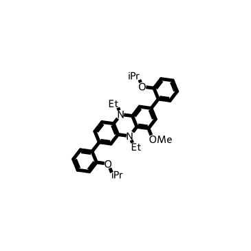 CCN1c2ccc(-c3ccccc3OC(C)C)cc2N(CC)c2c(OC)cc(-c3ccccc3OC(C)C)cc21